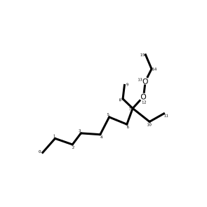 CCCCCCCC(CC)(CC)OOCC